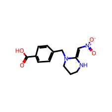 O=C(O)c1ccc(CN2CCCNC2=C[N+](=O)[O-])cc1